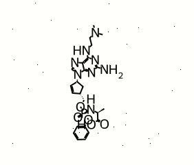 C[C@H](NP(=O)(OC[C@@H]1C=C[C@H](n2cnc3c(NCCN(C)C)nc(N)nc32)C1)Oc1ccccc1)C(=O)O